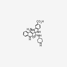 Nc1c(C2(C(=O)NC3CCNCC3)Nc3ccc(C(=O)O)cc3N2)c(=O)[nH]c2ccccc12